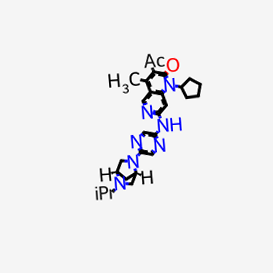 CC(=O)c1c(C)c2cnc(Nc3cnc(N4C[C@@H]5C[C@H]4CN5C(C)C)cn3)cc2n(C2CCCC2)c1=O